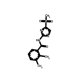 Cc1cccc(C(=O)Nc2nc(S(C)(=O)=O)cs2)c1C